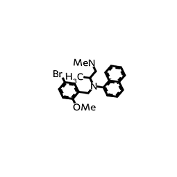 CNCC(C)N(Cc1cc(Br)ccc1OC)c1cccc2ccccc12